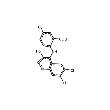 O=C(O)c1cc(Cl)ccc1Nc1c(S)cnc2cc(Cl)c(Cl)cc12